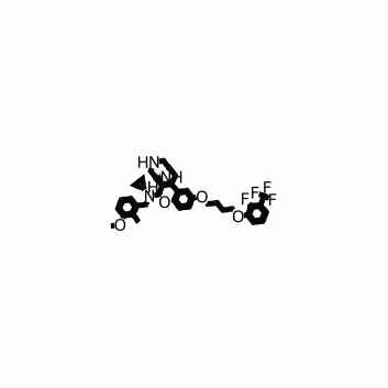 COc1cccc(CN(C(=O)C2=C(c3cccc(OCCCCOc4cccc(C(F)(F)F)c4F)c3)CC3CNC[C@H]2N3)C2CC2)c1C